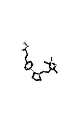 Cc1nn(C)c(C)c1CCN1CCC[C@@H]1c1ccc(C=CC(=O)NO)cc1